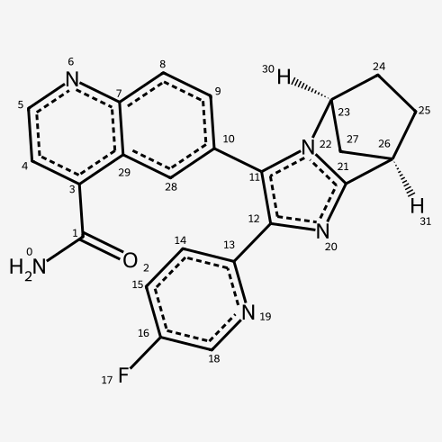 NC(=O)c1ccnc2ccc(-c3c(-c4ccc(F)cn4)nc4n3[C@H]3CC[C@@H]4C3)cc12